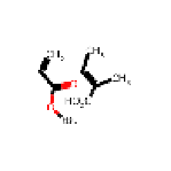 C=CC(=O)OC(C)(C)C.CC=C(C)C(=O)O